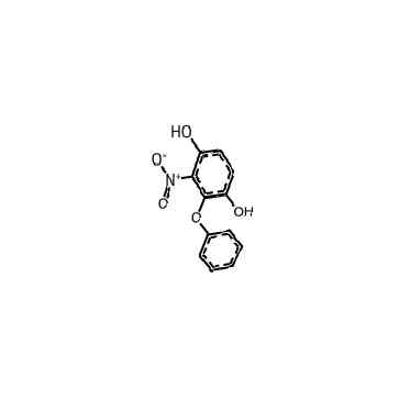 O=[N+]([O-])c1c(O)ccc(O)c1Oc1ccccc1